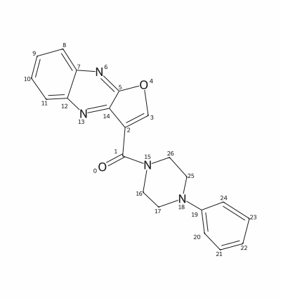 O=C(c1coc2nc3ccccc3nc12)N1CCN(c2ccccc2)CC1